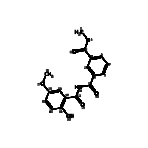 COC(=O)c1cccc(C(=O)NC(=O)c2cc(OC)ccc2O)c1